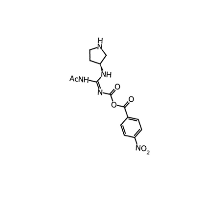 CC(=O)NC(=NC(=O)OC(=O)c1ccc([N+](=O)[O-])cc1)N[C@H]1CCNC1